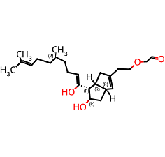 CC(C)=CCC[C@@H](C)CCC=C(O)[C@@H]1[C@@H]2CC(CCOCC=O)=C[C@@H]2C[C@H]1O